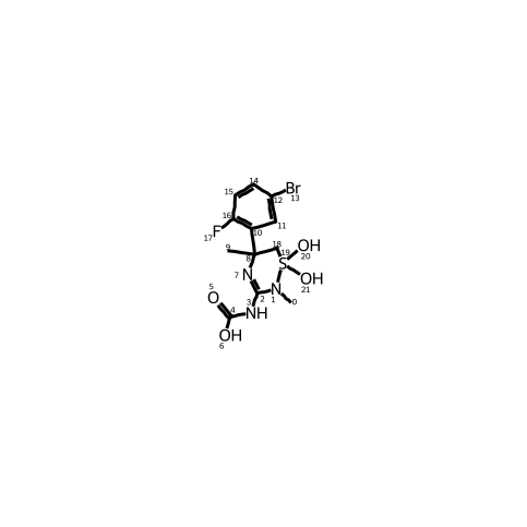 CN1C(NC(=O)O)=NC(C)(c2cc(Br)ccc2F)CS1(O)O